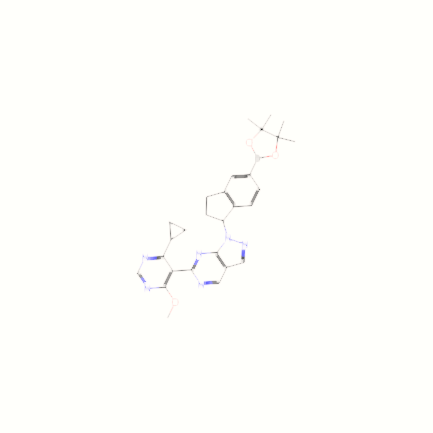 COc1ncnc(C2CC2)c1-c1ncc2cnn(C3CCc4cc(B5OC(C)(C)C(C)(C)O5)ccc43)c2n1